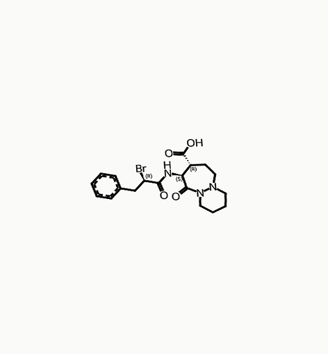 O=C(N[C@@H]1C(=O)N2CCCCN2CC[C@H]1C(=O)O)[C@H](Br)Cc1ccccc1